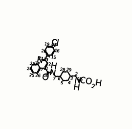 O=C(O)NCC1CCC(CNC(=O)c2cc(-c3ccc(Cl)cc3)nc3ccccc23)CC1